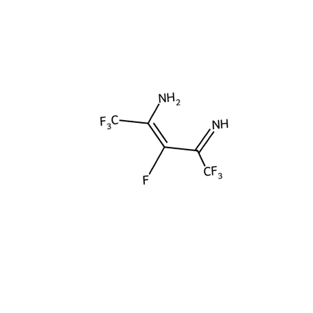 N=C(C(F)=C(N)C(F)(F)F)C(F)(F)F